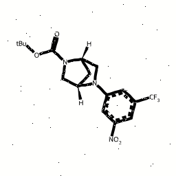 CC(C)(C)OC(=O)N1C[C@@H]2C[C@H]1CN2c1cc([N+](=O)[O-])cc(C(F)(F)F)c1